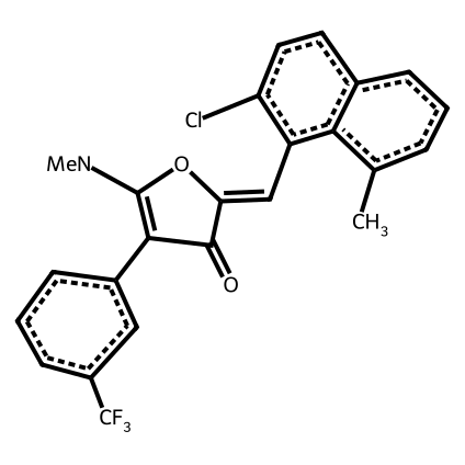 CNC1=C(c2cccc(C(F)(F)F)c2)C(=O)C(=Cc2c(Cl)ccc3cccc(C)c23)O1